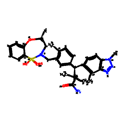 CC[C@@H]1CN(Cc2cc([C@@H](c3ccc4c(nnn4CC)c3C)C(C)(C)C(N)=O)ccc2C)S(O)(O)c2ccccc2O1